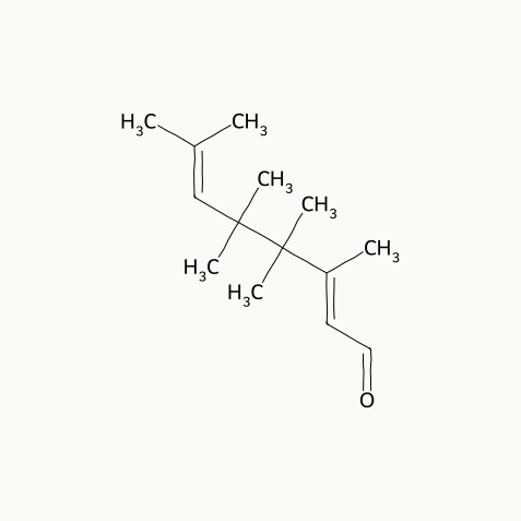 CC(C)=CC(C)(C)C(C)(C)/C(C)=C/C=O